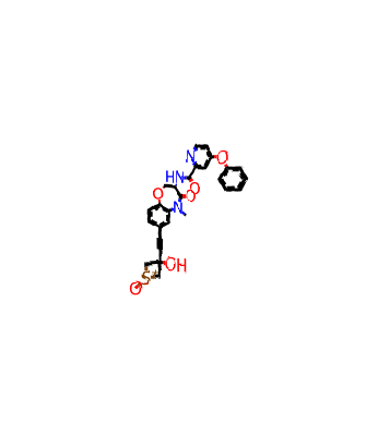 CN1C(=O)[C@@H](NC(=O)c2cc(Oc3ccccc3)ccn2)COc2ccc(C#CC3(O)C[S+]([O-])C3)cc21